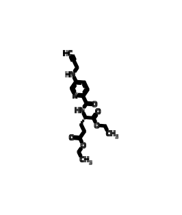 C#CCNc1ccc(C(=O)N[C@@H](CCC(=O)OCC)C(=O)OCC)nc1